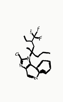 CCCC(C)(CC(CC)C(F)(F)F)n1c(Cl)nc2cnc3ccccc3c21